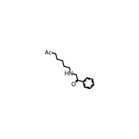 CC(=O)CCCCCNCC(=O)c1ccccc1